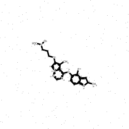 Cc1c(OCCC[S+](C)[O-])cn2ncnc(Oc3ccc4c(c3F)=CC(C)N=4)c12